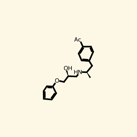 CC(=O)c1ccc(C[C@@H](C)NC[C@H](O)COc2ccccc2)cc1